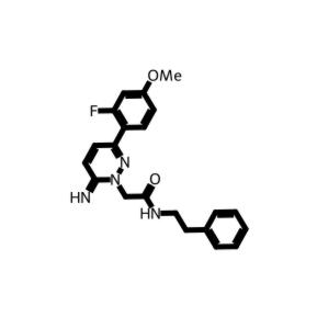 COc1ccc(-c2ccc(=N)n(CC(=O)NCCc3ccccc3)n2)c(F)c1